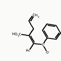 C=CCC(C(=O)O)=C(C(C)=O)[S+]([O-])c1ccccc1